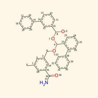 Cc1cc(COC(OC([O])c2cccc(-c3ccccc3)c2)c2ccccc2-c2ccccc2)cc(C(N)=O)c1